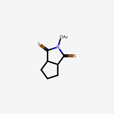 CC(=O)ON1C(=S)C2CCCC2C1=S